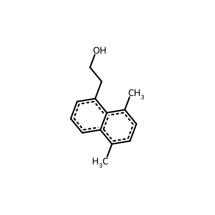 Cc1ccc(C)c2c(CCO)cccc12